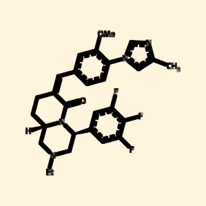 CCN1C[C@@H]2CCC(=Cc3ccc(-n4cnc(C)c4)c(OC)c3)C(=O)N2[C@@H](c2cc(F)c(F)c(F)c2)C1